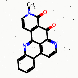 Cn1ccc2c(c1=O)C(=O)c1nccc3c1C2=NC1=CCC=CC13